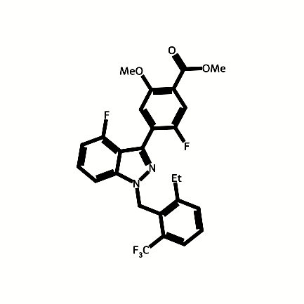 CCc1cccc(C(F)(F)F)c1Cn1nc(-c2cc(OC)c(C(=O)OC)cc2F)c2c(F)cccc21